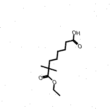 CCOC(=O)C(C)(C)CCCCCC(=O)O